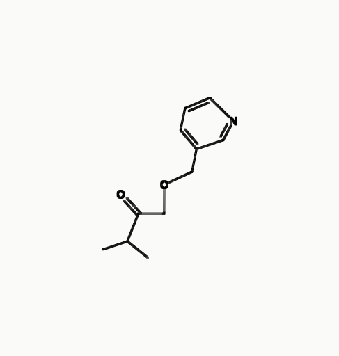 CC(C)C(=O)COCc1cccnc1